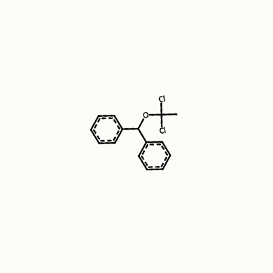 CC(Cl)(Cl)OC(c1ccccc1)c1ccccc1